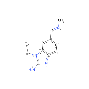 CN=Cc1ccc2nc(N)n(CC(C)C)c2c1